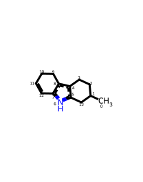 CC1CCc2c([nH]c3c2CCC=C3)C1